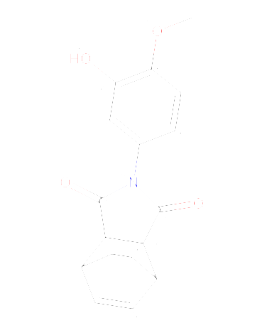 COc1ccc(N2C(=O)C3C4C=CC(CC4)C3C2=O)cc1O